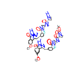 CN(C(=O)C1CCN1)C1CN(C(=O)c2cc(Cc3n[nH]c(=O)c4ccc(OC5CCC5)cc34)ccc2F)C1.CN(C(=O)C1CCN1C(=O)OC(C)(C)C)C1CN(C(=O)c2cc(Cc3n[nH]c(=O)c4ccc(OC5CCC5)cc34)ccc2F)C1